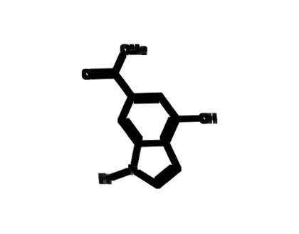 CCn1ccc2c(O)cc(C(=O)OC)cc21